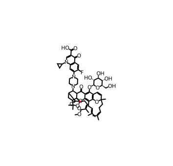 COC(=O)/C(C)=C\CC12OC(C)(C)C3CC(C1=O)C(N1CCN(c4cc5c(cc4F)c(=O)c(C(=O)O)cn5C4CC4)CC1)C1C(=O)c4c(O[C@@H]5O[C@H](CO)[C@@H](O)[C@H](O)[C@H]5O)c5c(c(CC=C(C)C)c4OC132)OC(C)(CCC=C(C)C)C=C5